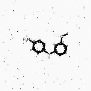 COc1cccc(Nc2ccc(N)cc2)c1